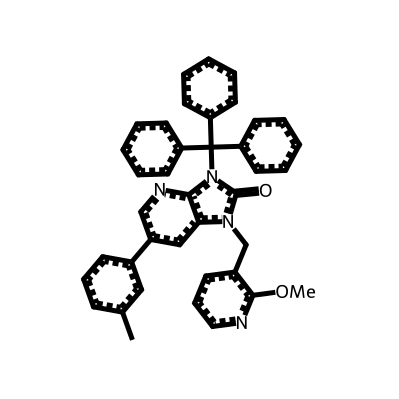 COc1ncccc1Cn1c(=O)n(C(c2ccccc2)(c2ccccc2)c2ccccc2)c2ncc(-c3cccc(C)c3)cc21